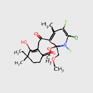 COCC1(OC)C(C(=O)C2=C(O)C(C)(C)CCC2=O)=C(C)C(F)=C(Cl)N1F